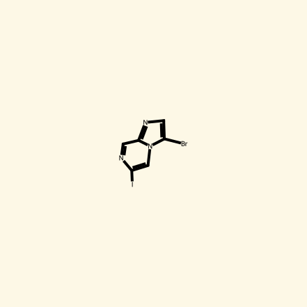 Brc1cnc2cnc(I)cn12